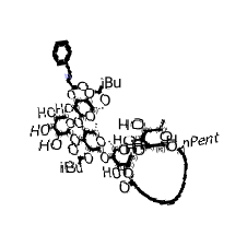 CCCCC[C@H]1CCCCCCCCCC(=O)O[C@H]2[C@H](O[C@H]3[C@H](O1)O[C@H](C)[C@H](O)[C@@H]3O)O[C@@H](C)[C@H](O[C@@H]1O[C@@H](C)[C@H](O[C@@H]3O[C@@H](C)[C@H](OC(=O)C(C)CC)[C@@H](OC(=O)/C=C/c4ccccc4)[C@H]3O)[C@@H](O[C@@H]3O[C@@H](C)[C@H](O)[C@@H](O)[C@H]3O)[C@H]1OC(=O)C(C)CC)[C@H]2O